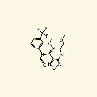 COCCNc1nonc1/C(=N/OC)N(C=O)c1cccc(C(F)(F)F)c1